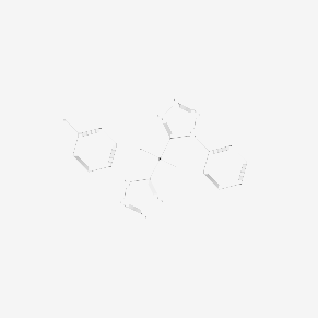 Clc1ccc(-n2nnnc2C(Cl)(Cl)c2nnnn2-c2ccc(Cl)cc2)cc1